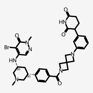 CN1C[C@H](Nc2cnn(C)c(=O)c2Br)C[C@H](c2ccc(C(=O)N3CC4(C3)CN(c3cccc(C5CCC(=O)NC5=O)c3)C4)cc2)C1